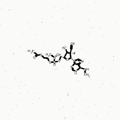 C#C[C@]1(F)C(O)[C@@H](COP(=O)(OCCSC(C)=O)N(C)C)O[C@H]1n1cnc2c1N=CNC2NC